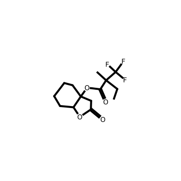 CCC(C)(C(=O)OC12CCCCC1OC(=O)C2)C(F)(F)F